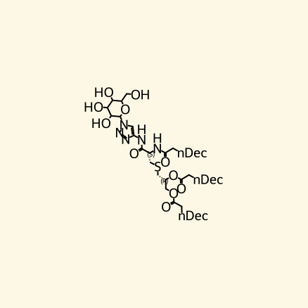 CCCCCCCCCCCC(=O)N[C@H](CSC[C@@H](COC(=O)CCCCCCCCCCC)OC(=O)CCCCCCCCCCC)C(=O)Nc1cn(C2OC(CO)C(O)C(O)C2O)nn1